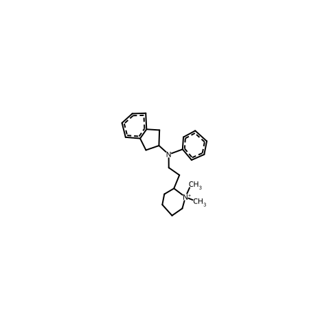 C[N+]1(C)CCCCC1CCN(c1ccccc1)C1Cc2ccccc2C1